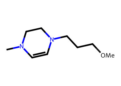 COCCCN1C=CN(C)CC1